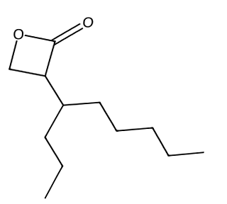 CCCCCC(CCC)C1COC1=O